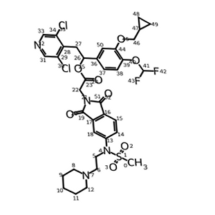 CS(=O)(=O)N(CCN1CCCCC1)c1ccc2c(c1)C(=O)N(CC(=O)OC(Cc1c(Cl)cncc1Cl)c1ccc(OC(F)F)c(OCC3CC3)c1)C2=O